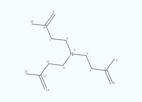 C=C(C)CCN(CCC(=C)C)CCC(=C)C